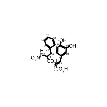 O=C(O)/C=C/c1ccc(O)c(O)c1.O=C(O)[C@H](Cc1ccccc1)N[N+](=O)[O-]